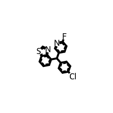 Fc1ccc(C(c2ccc(Cl)cc2)c2cccc3scnc23)cn1